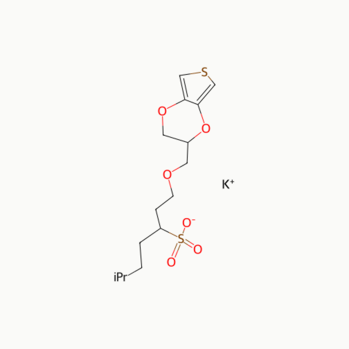 CC(C)CCC(CCOCC1COc2cscc2O1)S(=O)(=O)[O-].[K+]